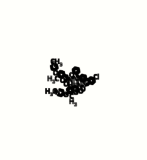 Cc1c(OC2CCN(C)CC2)ccc2cc(NC(=O)NCc3ccc(Cl)cc3-c3ccc(C(NC(=O)Nc4cc5ccc(OC6CCN(C)CC6)c(C)c5oc4=O)c4ccccc4)cc3)c(=O)oc12